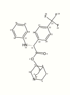 O=C(OC1CN2CCC1CC2)[C@H](Nc1ccccc1)c1ccc(C(F)(F)F)cc1